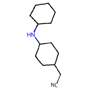 N#CCC1CCC(NC2CCCCC2)CC1